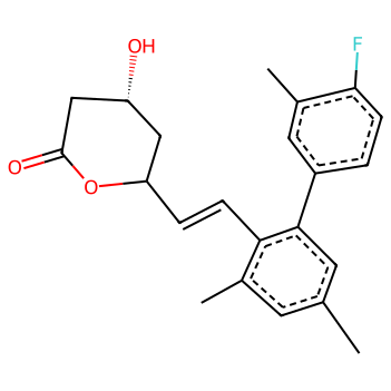 Cc1cc(C)c(/C=C/C2C[C@@H](O)CC(=O)O2)c(-c2ccc(F)c(C)c2)c1